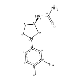 Cc1ccc(N2CC[C@@H](NC(N)=O)C2)cc1F